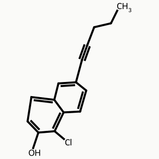 CCCC#Cc1ccc2c(Cl)c(O)ccc2c1